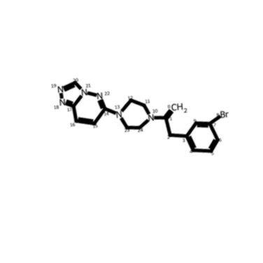 C=C(Cc1cccc(Br)c1)N1CCN(c2ccc3nncn3n2)CC1